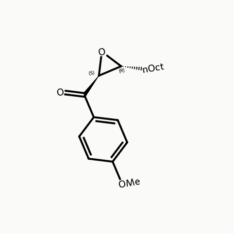 CCCCCCCC[C@H]1O[C@@H]1C(=O)c1ccc(OC)cc1